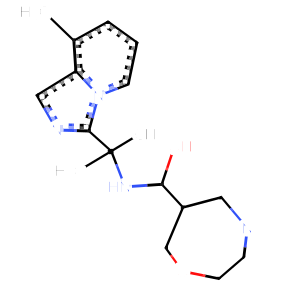 Cc1cccn2c(C(C)(C)NC(O)C3CNCCOC3)ncc12